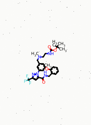 COc1ccccc1CNC(=O)c1cc(C(F)(F)F)nn1-c1cccc(CN(C)CCNC(=O)OC(C)(C)C)c1